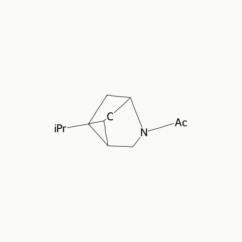 CC(=O)N1CC2CCC1CC2C(C)C